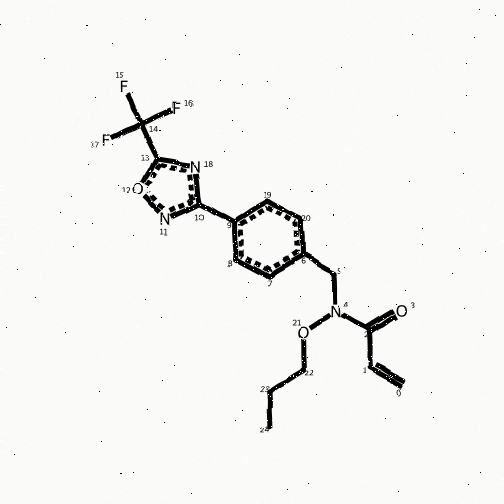 C=CC(=O)N(Cc1ccc(-c2noc(C(F)(F)F)n2)cc1)OCCC